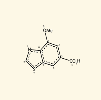 COc1cc(C(=O)O)cc2scnc12